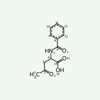 CC(=O)CC(NC(=O)c1ccccc1)C(=O)O